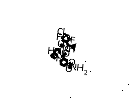 NS(=O)(=O)c1cccc(C(=O)N2[C@@H](C(=O)N[C@@H](c3cc(F)c(Cl)cc3F)C3CC3)C[C@H]3C#C[C@H]32)c1